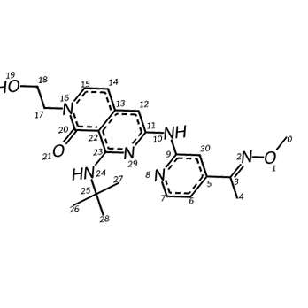 CON=C(C)c1ccnc(Nc2cc3ccn(CCO)c(=O)c3c(NC(C)(C)C)n2)c1